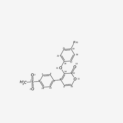 CS(=O)(=O)c1ccc(-c2ccoc(=O)c2Oc2ccc(F)cc2)cc1